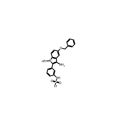 CCCn1c(-c2cccc(NS(=O)(=O)CC)c2)c(N)c2cc(OCc3ccccc3)ccc21